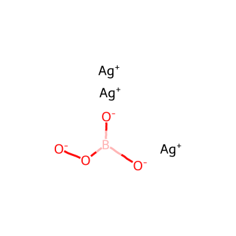 [Ag+].[Ag+].[Ag+].[O-]OB([O-])[O-]